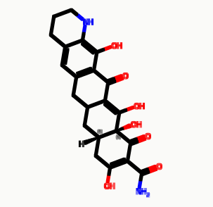 NC(=O)C1=C(O)C[C@@H]2CC3Cc4cc5c(c(O)c4C(=O)C3=C(O)[C@]2(O)C1=O)NCCC5